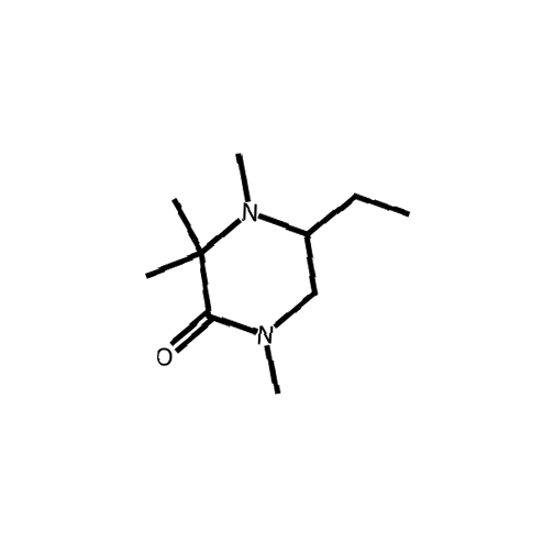 CCC1CN(C)C(=O)C(C)(C)N1C